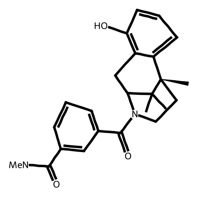 CNC(=O)c1cccc(C(=O)N2CC[C@@]3(C)c4cccc(O)c4CC2C3(C)C)c1